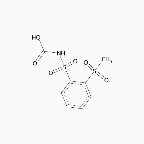 CS(=O)(=O)c1ccccc1S(=O)(=O)NC(=O)O